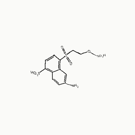 Nc1ccc2c(S(=O)(=O)O)ccc(S(=O)(=O)CCOS(=O)(=O)O)c2c1